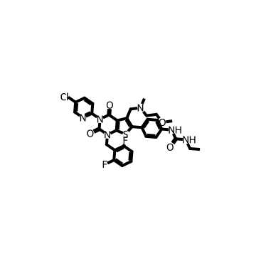 CCNC(=O)Nc1ccc(-c2sc3c(c2CN(C)CCOC)c(=O)n(-c2ccc(Cl)cn2)c(=O)n3Cc2c(F)cccc2F)cc1